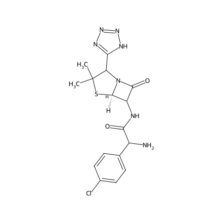 CC1(C)S[C@@H]2C(NC(=O)C(N)c3ccc(Cl)cc3)C(=O)N2C1c1nnn[nH]1